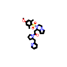 COc1cc(C)c(S(=O)(=O)N2CCn3cccc3C2CC(=O)N2CCCC2Cc2ccccn2)c(C)c1